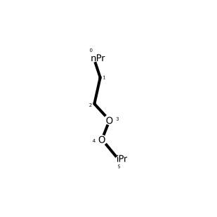 CCCCCOOC(C)C